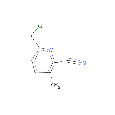 Cc1ccc(CCl)nc1C#N